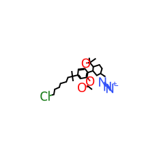 CC(=O)Oc1cc(C(C)(C)CCCCCCCl)cc2c1C1CC(CN=[N+]=[N-])CCC1C(C)(C)O2